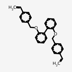 C=Cc1ccc(COc2ccccc2-c2ccccc2OCc2ccc(C=C)cc2)cc1